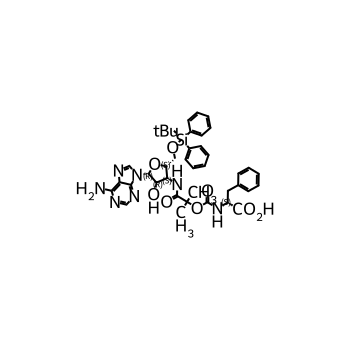 CC(C)(OC(=O)N[C@@H](Cc1ccccc1)C(=O)O)C(=O)N[C@H]1[C@@H](O)[C@H](n2cnc3c(N)ncnc32)O[C@@H]1CO[Si](c1ccccc1)(c1ccccc1)C(C)(C)C